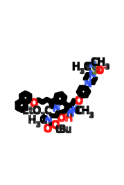 CCOC(=O)c1c(CCCOc2cccc3ccccc23)c2cccc(-c3c(CO)nn(C)c3COc3ccc(N4CCN([S+]([O-])N(C)C)CC4)cc3)c2n1CCCN(C)C(=O)OC(C)(C)C